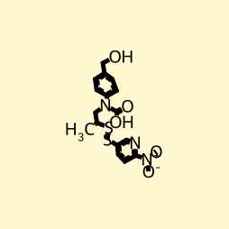 CC(CN(C(=O)O)c1ccc(CO)cc1)SSc1ccc([N+](=O)[O-])nc1